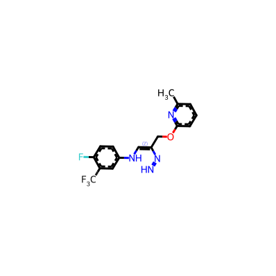 Cc1cccc(OC/C(=C/Nc2ccc(F)c(C(F)(F)F)c2)N=N)n1